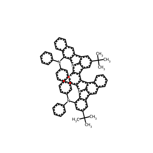 CC(C)(C)c1cc(N(c2ccccc2)c2ccccc2)c2c(c1)c1cc3ccccc3c3c4c5c6cc(C(C)(C)C)cc7c8cc9ccccc9c(N(c9ccccc9)c9ccccc9)c8n(c5ncc4n2c13)c76